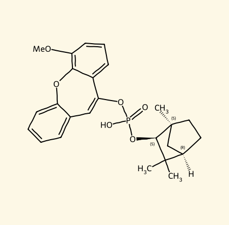 COc1cccc2c1Oc1ccccc1C=C2OP(=O)(O)O[C@@H]1C(C)(C)[C@@H]2CC[C@@]1(C)C2